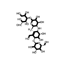 C[C@H]1OC(O[C@H](C(O)CO)[C@H](O)[C@@H](O)C=O)C(O)[C@@H](O)[C@@H]1N[C@H]1C=C(CO)[C@@H](O[C@H]2O[C@H](CO)C(O)[C@H](O)C2O)C(O)[C@H]1O